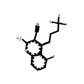 Cc1nc2cccc(F)c2c(CCCC(F)(F)F)c1C#N